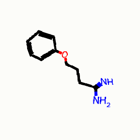 N=C(N)CCCOc1ccccc1